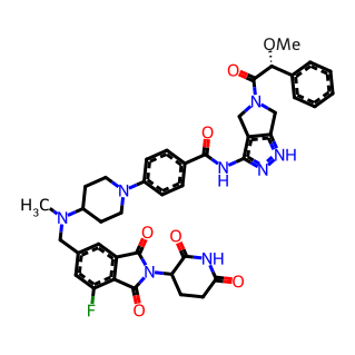 CO[C@@H](C(=O)N1Cc2[nH]nc(NC(=O)c3ccc(N4CCC(N(C)Cc5cc(F)c6c(c5)C(=O)N(C5CCC(=O)NC5=O)C6=O)CC4)cc3)c2C1)c1ccccc1